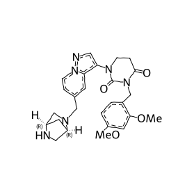 COc1ccc(CN2C(=O)CCN(c3cnn4ccc(CN5C[C@H]6C[C@@H]5CN6)cc34)C2=O)c(OC)c1